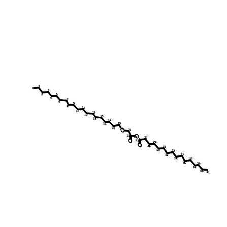 CCCCCCCCCCCCCCCCCCCCOCC(=O)OC(=O)CCCCCCCCCCCCCCC